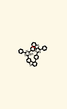 c1ccc(C2=NC(c3ccccc3)NC(c3ccc4sc5cccc(-c6ccc(-c7nc(-c8ccccc8)c8sc9ccccc9c8n7)cc6)c5c4c3)=N2)cc1